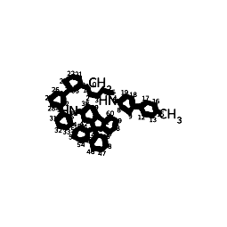 C=C(/C=C\C=C/Nc1ccc(-c2ccc(C)cc2)cc1)c1cccc(-c2cccc(-c3ccccc3Nc3ccc4c(c3)C(c3ccccc3)(c3ccccc3)c3ccccc3-4)c2)c1